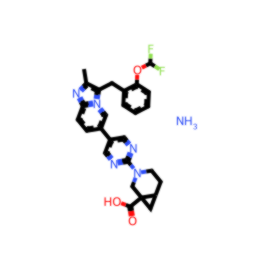 Cc1nc2ccc(-c3cnc(N4CCC5CC5(C(=O)O)C4)nc3)cn2c1Cc1ccccc1OC(F)F.N